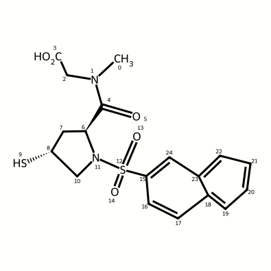 CN(CC(=O)O)C(=O)[C@@H]1C[C@@H](S)CN1S(=O)(=O)c1ccc2ccccc2c1